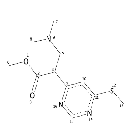 COC(=O)C(CN(C)C)c1cc(SC)ncn1